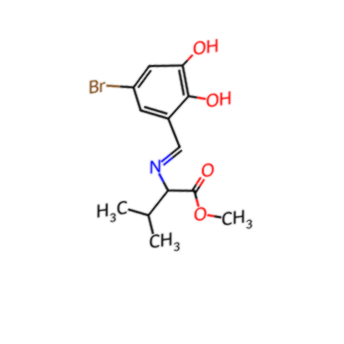 COC(=O)C(N=Cc1cc(Br)cc(O)c1O)C(C)C